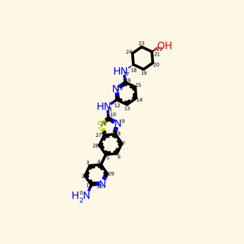 Nc1ccc(-c2ccc3nc(Nc4cccc(N[C@H]5CC[C@H](O)CC5)n4)sc3c2)cn1